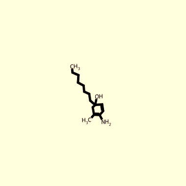 CCCCCCCCC1(O)C=CC(N)=C(C)C1